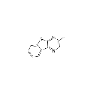 Cc1cnc2c(n1)sc1ccccc12